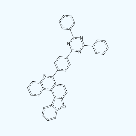 c1ccc(-c2nc(-c3ccccc3)nc(-c3ccc(-c4nc5ccccc5c5c4ccc4oc6ccccc6c45)cc3)n2)cc1